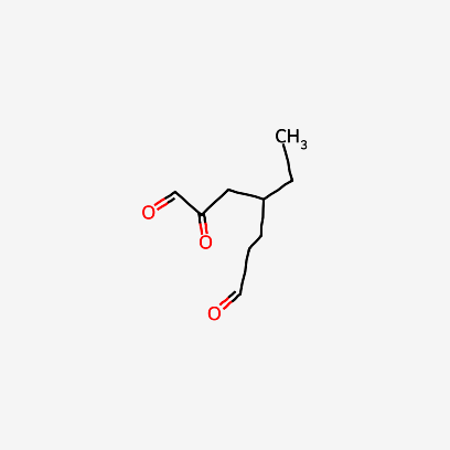 CCC(CCC=O)CC(=O)C=O